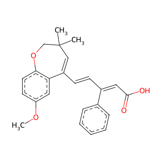 COc1ccc2c(c1)C(C=CC(=CC(=O)O)c1ccccc1)=CC(C)(C)CO2